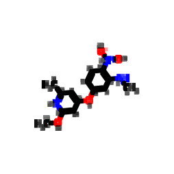 CNc1cc(Oc2cc(C)nc(OC)c2)ccc1[N+](=O)[O-]